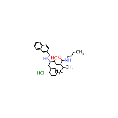 CCCCNC(=O)C(CC(O)C(CC1CCCCC1)NCc1ccc2ccccc2c1)C(C)C.Cl